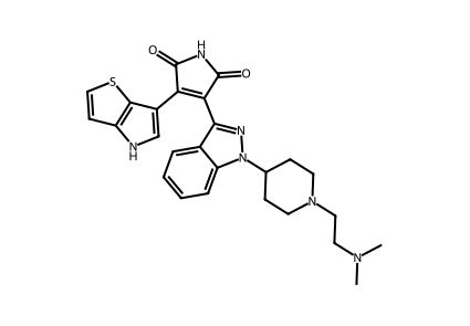 CN(C)CCN1CCC(n2nc(C3=C(c4c[nH]c5ccsc45)C(=O)NC3=O)c3ccccc32)CC1